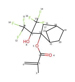 C=C(C)C(=O)OC1(C(O)(C(F)(F)F)C(F)(F)F)CC2CCC1C2